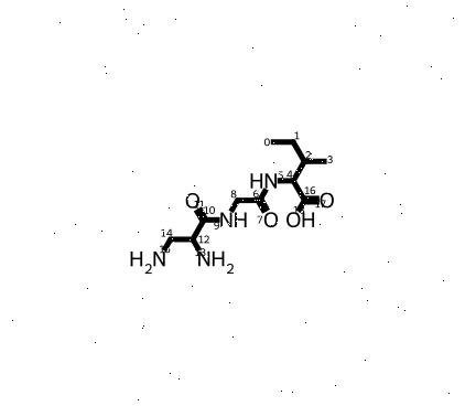 CCC(C)C(NC(=O)CNC(=O)C(N)CN)C(=O)O